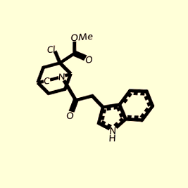 COC(=O)C1(Cl)CC2CCC1N(C(=O)Cc1c[nH]c3ccccc13)C2